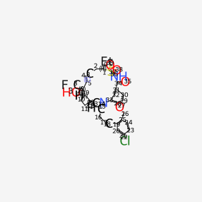 CC[C@@H]1CC/C=C/[C@](O)(C(F)(F)F)[C@@H]2CC[C@H]2CN2CCCCc3cc(Cl)ccc3COc3ccc(cc32)C(=O)NS1(=O)=O